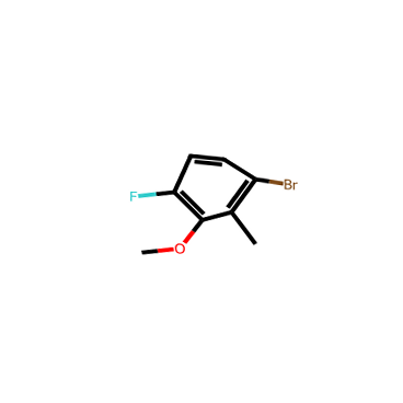 COc1c(F)ccc(Br)c1C